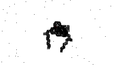 CCCCCCC(C)Cc1ccc(P(O)(O)(c2ccccc2)c2ccc(CC(C)CCCCCC)cc2)cc1